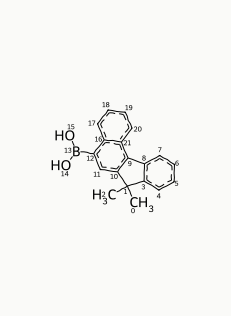 CC1(C)c2ccccc2-c2c1cc(B(O)O)c1ccccc21